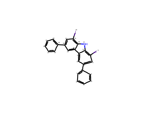 Ic1cc(-c2ccccc2)cc2c1[nH]c1c(I)cc(-c3ccccc3)cc12